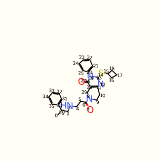 C[C@H](CNCCC(=O)N1CCc2nc(SC3CCC3)n(-c3ccccc3)c(=O)c2C1)c1ccccc1